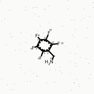 NCc1c(F)c(F)c(F)c(F)c1F